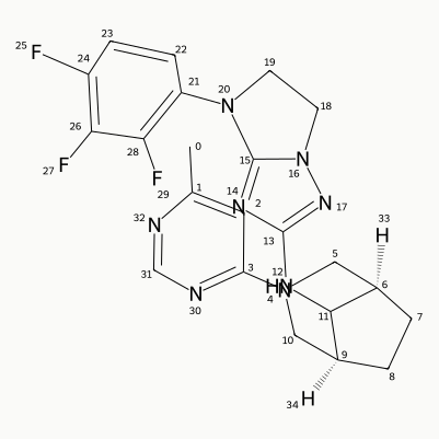 Cc1cc(N2C[C@H]3CC[C@@H](C2)C3Nc2nc3n(n2)CCN3c2ccc(F)c(F)c2F)ncn1